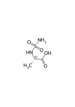 C[C@H](NS(N)(=O)=O)C(=O)O